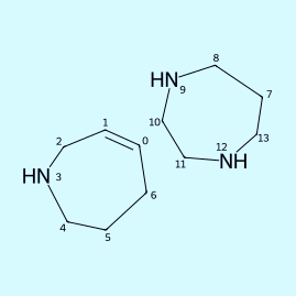 C1=CCNCCC1.C1CNCCNC1